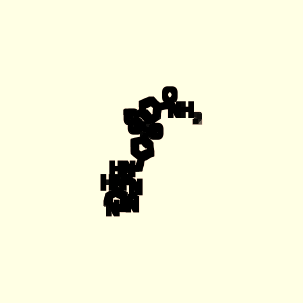 COc1ccc(C(N)=O)cc1S(=O)(=O)c1ccc(CNC(=NC#N)Nc2ccncc2)cc1